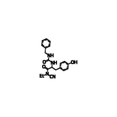 CCN(C#N)C(=O)C(Cc1ccc(O)cc1)NC(=O)NCc1ccccc1